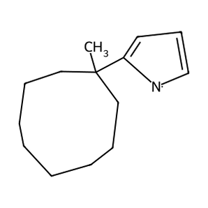 CC1(C2=CC=C[N]2)CCCCCCCC1